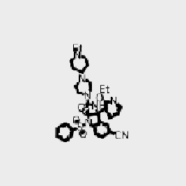 CCOc1ncccc1C1(NC(=O)N2CCN(C3CCN(CC)CC3)CC2)C(=O)N(S(=O)(=O)c2ccccc2)c2ccc(C#N)cc21